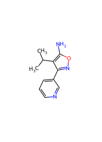 CC(C)c1c(-c2cccnc2)noc1N